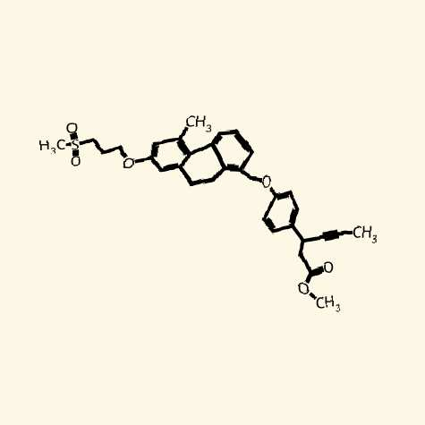 CC#CC(CC(=O)OC)c1ccc(OCc2cccc3c2CCc2cc(OCCCS(C)(=O)=O)cc(C)c2-3)cc1